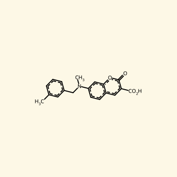 Cc1cccc(CN(C)c2ccc3cc(C(=O)O)c(=O)oc3c2)c1